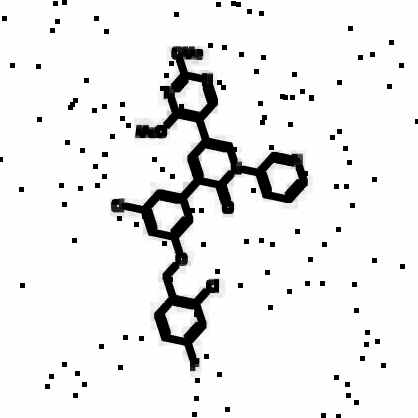 COc1ncc(-c2cc(-c3cc(Cl)cc(OCc4ccc(F)cc4Cl)c3)c(=O)n(-c3cccnc3)c2)c(OC)n1